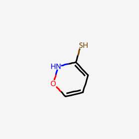 SC1=CC=CON1